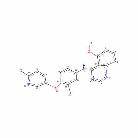 COc1cccc2ncnc(Nc3ccc(Oc4ccc(C)nc4)c(C)c3)c12